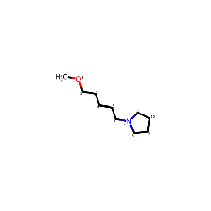 COCCCCCN1CCCC1